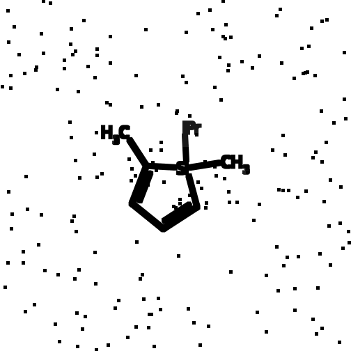 CC1=CC=C[Si]1(C)C(C)C